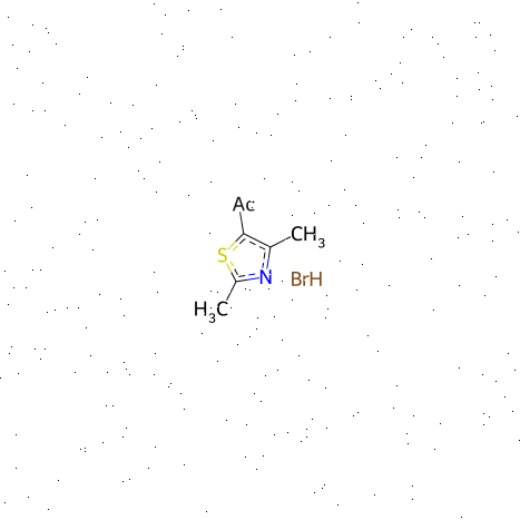 Br.CC(=O)c1sc(C)nc1C